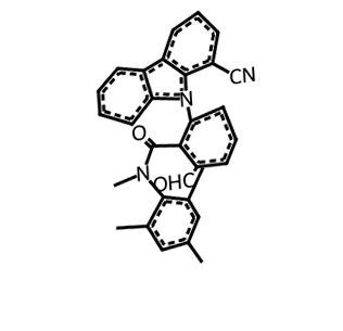 Cc1cc(C)c(N(C)C(=O)c2c(C=O)cccc2-n2c3ccccc3c3cccc(C#N)c32)c(C)c1